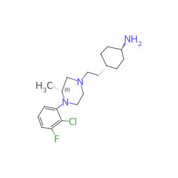 C[C@@H]1CN(CC[C@H]2CC[C@H](N)CC2)CCN1c1cccc(F)c1Cl